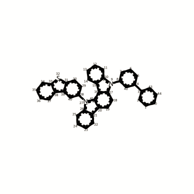 c1ccc(-c2cccc(-n3c4ccccc4c4c3ccc3c5ccccc5n(-c5ccc6sc7ccccc7c6c5)c34)c2)cc1